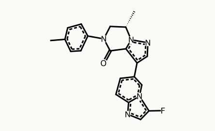 Cc1ccc(N2C[C@H](C)n3ncc(-c4ccc5ncc(F)n5c4)c3C2=O)cc1